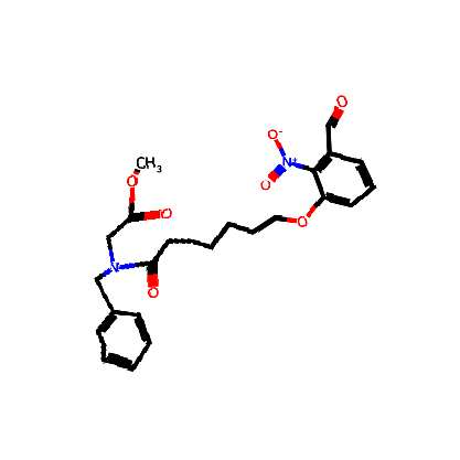 COC(=O)CN(Cc1ccccc1)C(=O)CCCCCOc1cccc(C=O)c1[N+](=O)[O-]